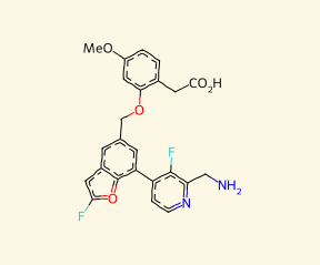 COc1ccc(CC(=O)O)c(OCc2cc(-c3ccnc(CN)c3F)c3oc(F)cc3c2)c1